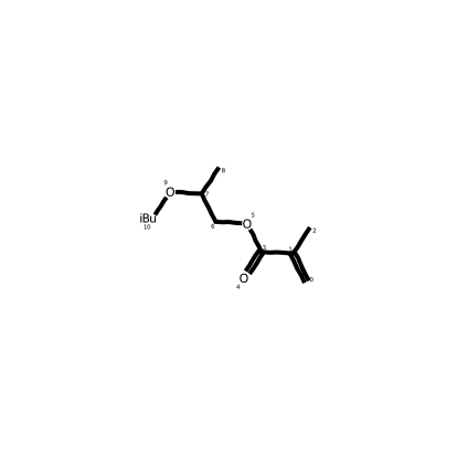 C=C(C)C(=O)OCC(C)OC(C)CC